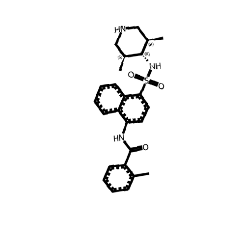 Cc1ccccc1C(=O)Nc1ccc(S(=O)(=O)N[C@H]2[C@H](C)CNC[C@@H]2C)c2ccccc12